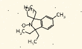 CCC1(CC)c2ccc(C)cc2C(CC)(CC)N1[O]